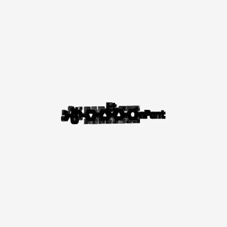 C=C(C)C(=O)N(C)CCc1ccc(-c2ccc(-c3ccc(C4CCC(CCCCC)CC4)cc3)c(CC)c2)cc1